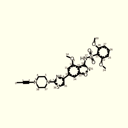 CC#CN1CCN(c2nc(-c3cc(OC)c4c(NS(=O)(=O)c5c(OC)cccc5OC)noc4c3)cs2)CC1